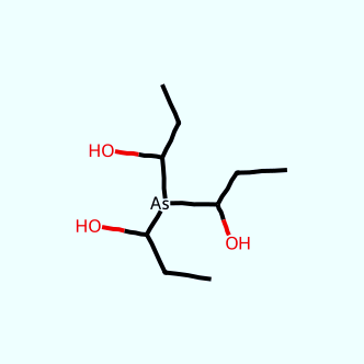 CCC(O)[As](C(O)CC)C(O)CC